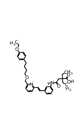 CCOc1ccc(CCCCOCc2cccc(C=Cc3cccc(NC(=O)CC(CC)(CC)C(=O)O)c3)n2)cc1